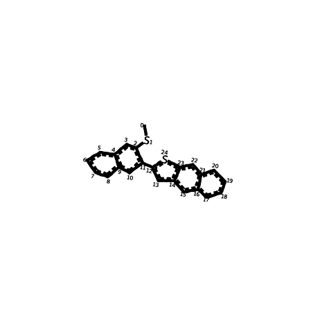 CSc1cc2ccccc2cc1-c1cc2cc3ccccc3cc2s1